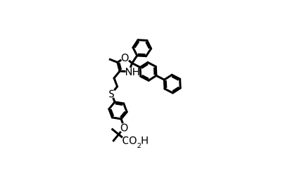 CC1=C(CCSc2ccc(OC(C)(C)C(=O)O)cc2)NC(c2ccccc2)(c2ccc(-c3ccccc3)cc2)O1